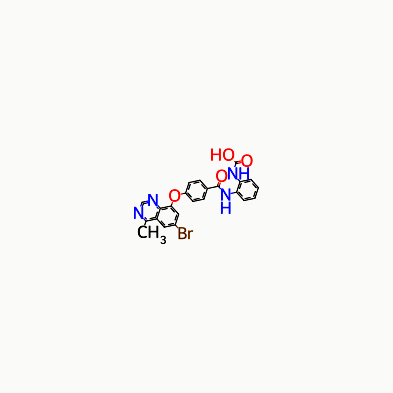 Cc1ncnc2c(Oc3ccc(C(=O)Nc4ccccc4NC(=O)O)cc3)cc(Br)cc12